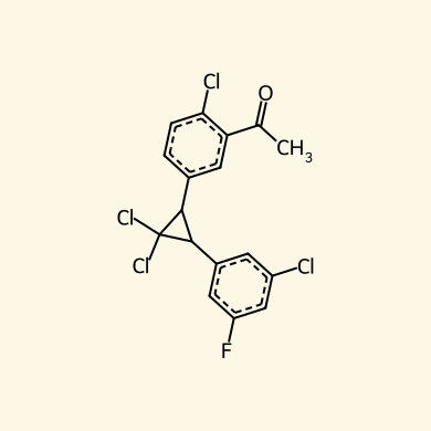 CC(=O)c1cc(C2C(c3cc(F)cc(Cl)c3)C2(Cl)Cl)ccc1Cl